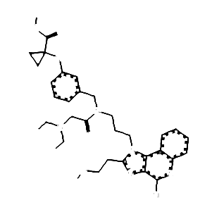 CCN(CC)CC(=O)N(CCCn1c(CCOC)nc2c(N)nc3ccccc3c21)Cc1cccc(OC2(C(=O)OC)CC2)c1